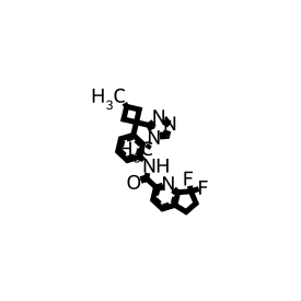 CC1CC(c2cccc(NC(=O)c3ccc4c(n3)C(F)(F)CC4)c2)(c2nncn2C)C1